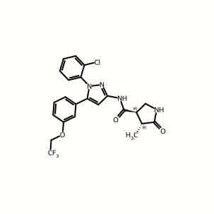 C[C@H]1C(=O)NC[C@@H]1C(=O)Nc1cc(-c2cccc(OCC(F)(F)F)c2)n(-c2ccccc2Cl)n1